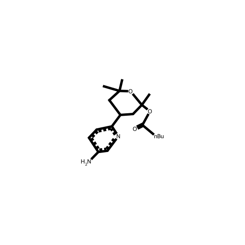 CCCCC(=O)OC1(C)CC(c2ccc(N)cn2)CC(C)(C)O1